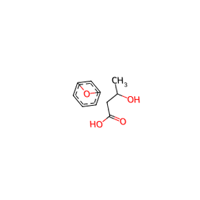 CC(O)CC(=O)O.c1cc2cc(c1)O2